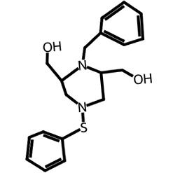 OCC1CN(Sc2ccccc2)CC(CO)N1Cc1ccccc1